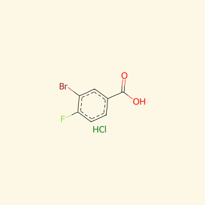 Cl.O=C(O)c1ccc(F)c(Br)c1